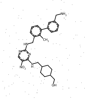 Cc1c(CNc2ncc([N+](=O)[O-])c(NCC3CCC(CO)CC3)n2)cccc1-c1cccc(CN)c1